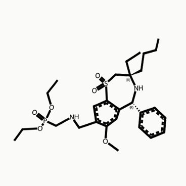 CCCC[C@]1(CC)CS(=O)(=O)c2cc(CNCP(=O)(OCC)OCC)c(OC)cc2[C@@H](c2ccccc2)N1